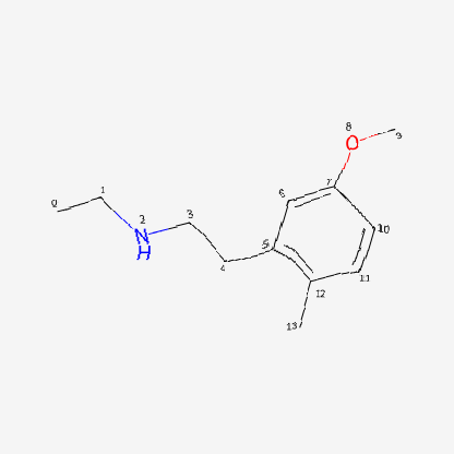 CCNCCc1cc(OC)ccc1C